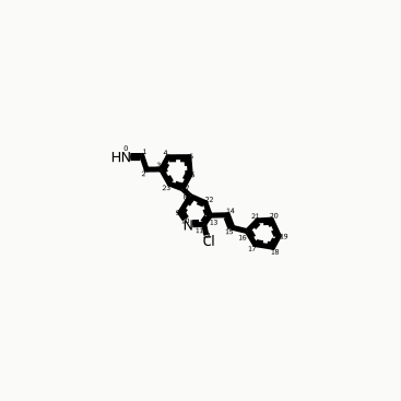 N=CCc1cccc(-c2cnc(Cl)c(/C=C/c3ccccc3)c2)c1